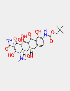 C[C@H]1c2ccc(NC(=O)OCC(C)(C)C)c(O)c2C(=O)C2=C(O)[C@]3(O)C(=O)C(C(N)=O)=C(O)[C@@H](N(C)C)[C@@H]3[C@@H](O)[C@@H]21